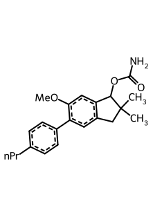 CCCc1ccc(-c2cc3c(cc2OC)C(OC(N)=O)C(C)(C)C3)cc1